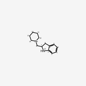 c1ccc2c(c1)CC(CN1CCCCC1)N2